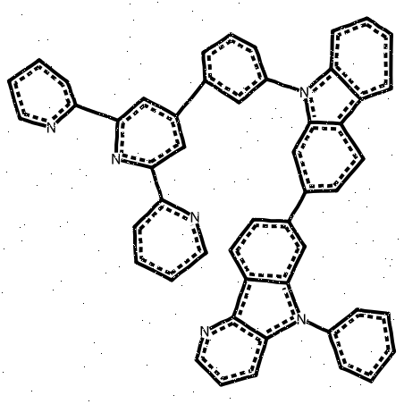 c1ccc(-n2c3cc(-c4ccc5c6ccccc6n(-c6cccc(-c7cc(-c8ccccn8)nc(-c8ccccn8)c7)c6)c5c4)ccc3c3ncccc32)cc1